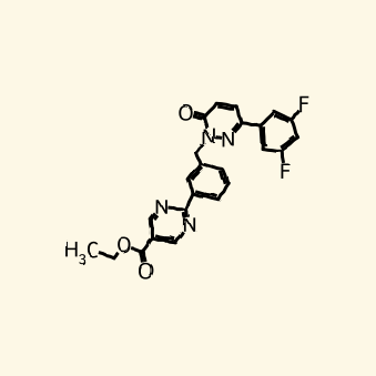 CCOC(=O)c1cnc(-c2cccc(Cn3nc(-c4cc(F)cc(F)c4)ccc3=O)c2)nc1